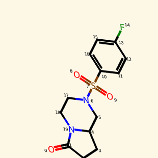 O=C1CCC2CN(S(=O)(=O)c3ccc(F)cc3)CCN12